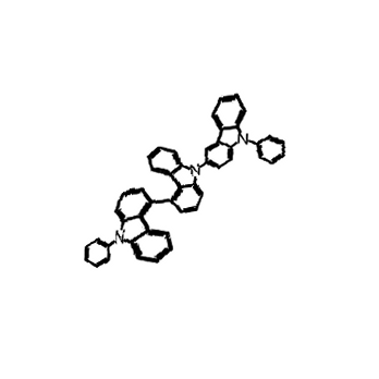 c1ccc(-n2c3ccccc3c3cc(-n4c5ccccc5c5c(-c6cccc7c6c6ccccc6n7-c6ccccc6)cccc54)ccc32)cc1